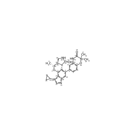 C[C@@H](Oc1nc(-c2ccc3c(c2)NC(=O)C(C)(C)O3)cc2ncn(C3CC3)c12)[C@H]1CN[C@@H](O)C1